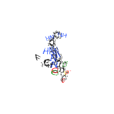 O=c1c(-c2c(Cl)cc([S+]([O-])C3CCOCC3)cc2Cl)cc2cnc(Nc3ccc(NC4CCNCC4)cc3)nc2n1CC(F)(F)F